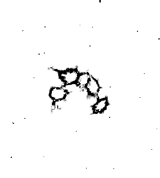 CC1CCN(c2cc(C(C)C)ccc(CN3CCN(c4ccccc4)CC3)c2=O)CC1